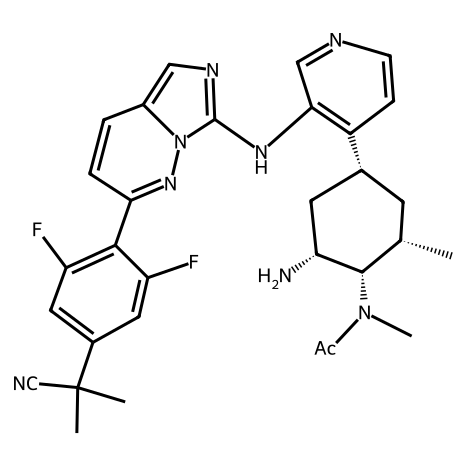 CC(=O)N(C)[C@@H]1[C@H](N)C[C@H](c2ccncc2Nc2ncc3ccc(-c4c(F)cc(C(C)(C)C#N)cc4F)nn23)C[C@@H]1C